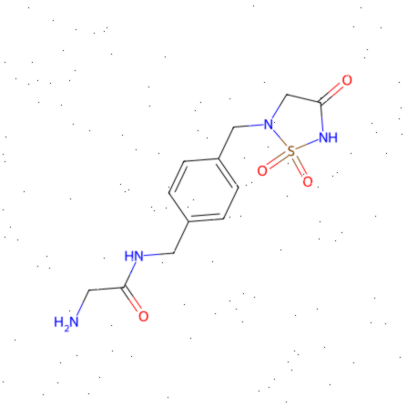 NCC(=O)NCc1ccc(CN2CC(=O)NS2(=O)=O)cc1